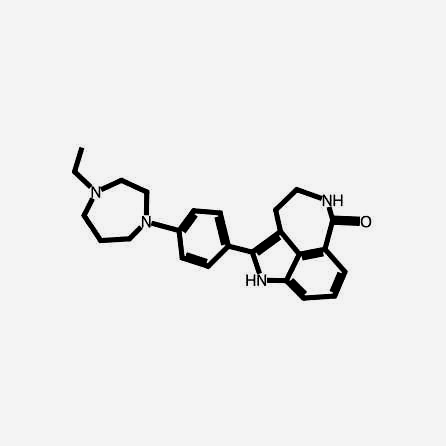 CCN1CCCN(c2ccc(-c3[nH]c4cccc5c4c3CCNC5=O)cc2)CC1